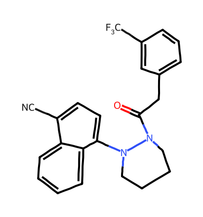 N#Cc1ccc(N2CCCCN2C(=O)Cc2cccc(C(F)(F)F)c2)c2ccccc12